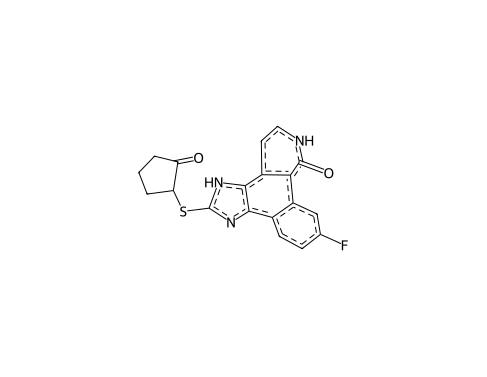 O=C1CCCC1Sc1nc2c3ccc(F)cc3c3c(=O)[nH]ccc3c2[nH]1